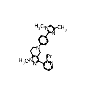 Cc1cn(C)c(-c2ccc(N3CCc4c(c(-c5cccnc5C(C)C)nn4C)C3)cc2)n1